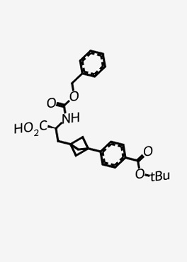 CC(C)(C)OC(=O)c1ccc(C23CC(C[C@H](NC(=O)OCc4ccccc4)C(=O)O)(C2)C3)cc1